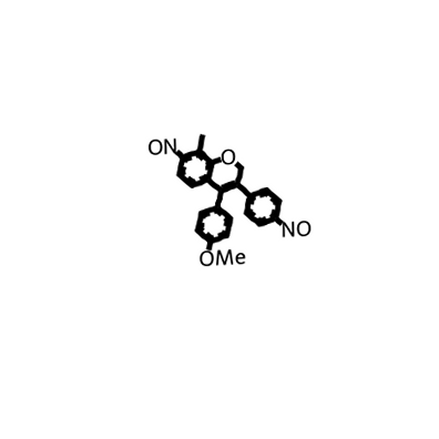 COc1ccc(C2=C(c3ccc(N=O)cc3)COc3c2ccc(N=O)c3C)cc1